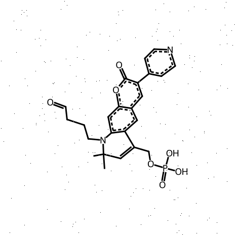 CC1(C)C=C(COP(=O)(O)O)c2cc3cc(-c4ccncc4)c(=O)oc3cc2N1CCCC=O